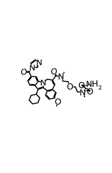 COc1ccc2c(c1)C=C(C(=O)N(C)CCOCCN(C)S(N)(=O)=O)Cn1c-2c(C2CCCCC2)c2ccc(C(=O)n3ccnc3)cc21